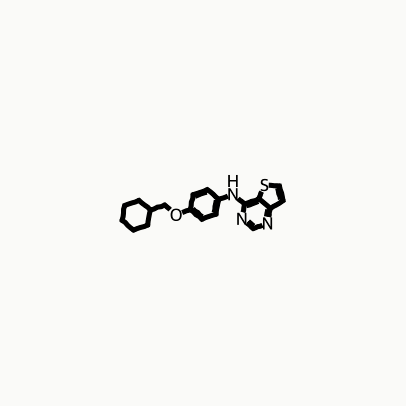 c1nc(Nc2ccc(OCC3CCCCC3)cc2)c2sccc2n1